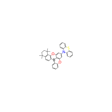 CC1(C)CCC(C)(C)c2c1ccc1c2Oc2cc(N3c4ccccc4Sc4ccccc43)cc3c2B1c1ccccc1O3